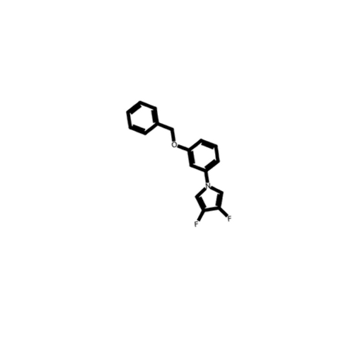 Fc1cn(-c2cc[c]c(OCc3ccccc3)c2)cc1F